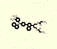 C=CC(=O)OCCC(CCOC(=O)C=C)c1ccc(-c2ccc(N(c3ccc(C)c(C)c3)c3cccc4ccccc34)cc2)c2ccccc12